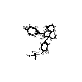 O=C(NC1(c2ccc(OC(F)(F)F)c(F)c2)CCOc2cccnc21)c1ccc(F)cn1